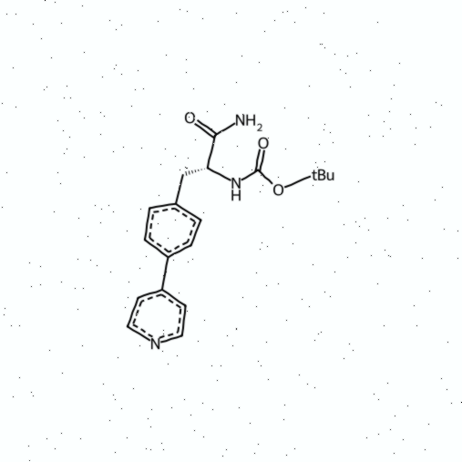 CC(C)(C)OC(=O)N[C@H](Cc1ccc(-c2ccncc2)cc1)C(N)=O